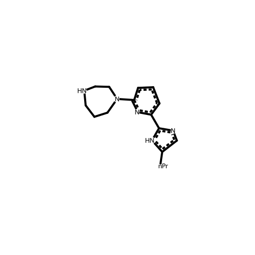 CCCc1cnc(-c2cccc(N3CCCNCC3)n2)[nH]1